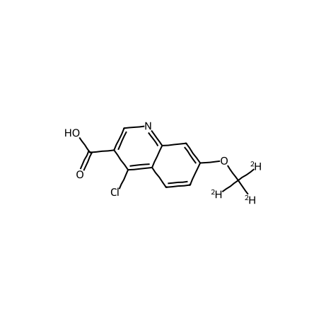 [2H]C([2H])([2H])Oc1ccc2c(Cl)c(C(=O)O)cnc2c1